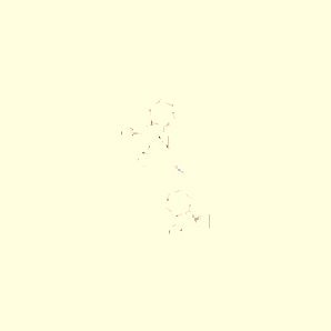 O=C1C(=O)N(C/C=C/c2ccc(Cl)c(Cl)c2)c2ccccc21